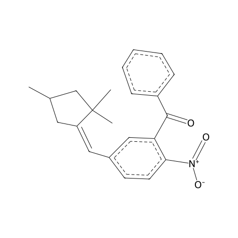 CC1CC(=Cc2ccc([N+](=O)[O-])c(C(=O)c3ccccc3)c2)C(C)(C)C1